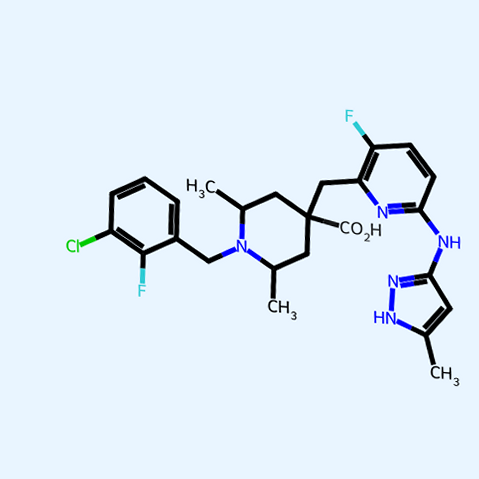 Cc1cc(Nc2ccc(F)c(CC3(C(=O)O)CC(C)N(Cc4cccc(Cl)c4F)C(C)C3)n2)n[nH]1